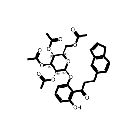 CC(=O)OC[C@H]1O[C@@H](Oc2cccc(O)c2C(=O)CCc2ccc3c(c2)C=CC3)[C@H](OC(C)=O)[C@@H](OC(C)=O)[C@@H]1OC(C)=O